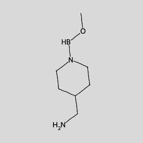 COBN1CCC(CN)CC1